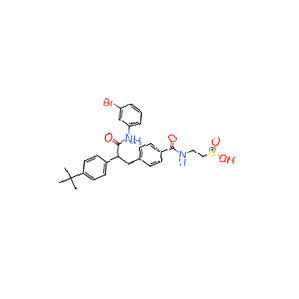 CC(C)(C)c1ccc(C(Cc2ccc(C(=O)NCC[S@](=O)O)cc2)C(=O)Nc2cccc(Br)c2)cc1